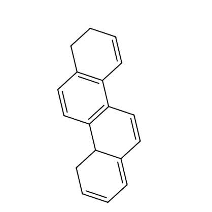 C1=CCC2C(=C1)C=Cc1c2ccc2c1C=CCC2